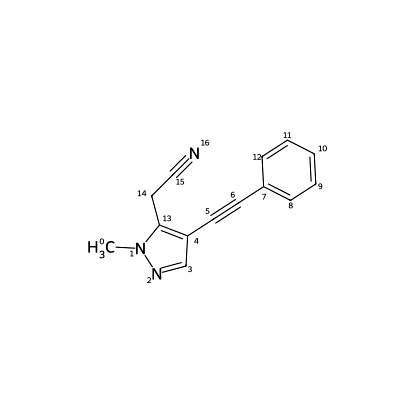 Cn1ncc(C#Cc2ccccc2)c1CC#N